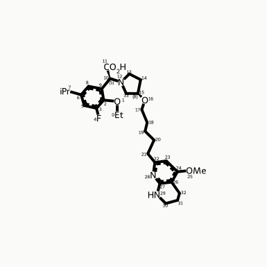 CCOc1c(F)cc(C(C)C)cc1[C@@H](C(=O)O)N1CC[C@@H](OCCCCCc2cc(OC)c3c(n2)NCCC3)C1